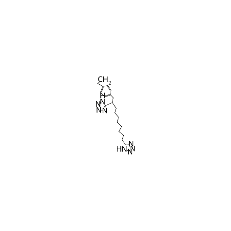 C=Cc1ccc(CC(CCCCCCCCc2nnn[nH]2)c2nnn[nH]2)cc1